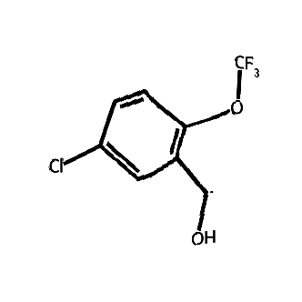 O[CH]c1cc(Cl)ccc1OC(F)(F)F